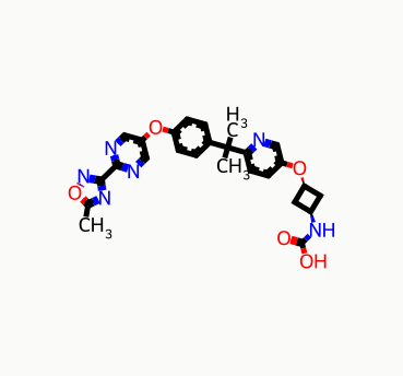 Cc1nc(-c2ncc(Oc3ccc(C(C)(C)c4ccc(O[C@H]5C[C@H](NC(=O)O)C5)cn4)cc3)cn2)no1